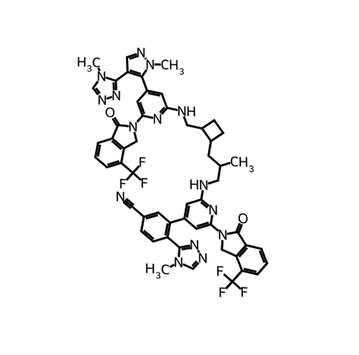 CC(CNc1cc(-c2cc(C#N)ccc2-c2nncn2C)cc(N2Cc3c(cccc3C(F)(F)F)C2=O)n1)CC1CCC1CNc1cc(-c2c(-c3nncn3C)cnn2C)cc(N2Cc3c(cccc3C(F)(F)F)C2=O)n1